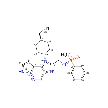 CS(=O)(=NCc1nc2cnc3[nH]ccc3c2n1[C@H]1CC[C@H](CC#N)CC1)c1ccccc1